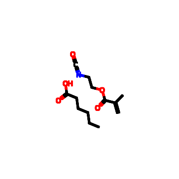 C=C(C)C(=O)OCCN=C=O.CCCCCC(=O)O